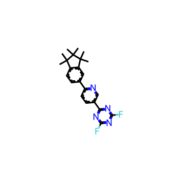 CC1(C)c2ccc(-c3ccc(-c4nc(F)nc(F)n4)cn3)cc2C(C)(C)C1(C)C